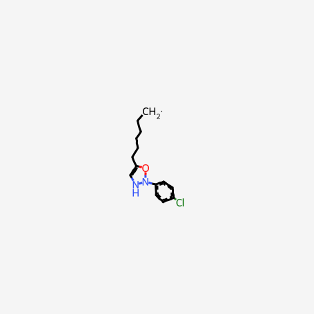 [CH2]CCCCCC1=CNN(c2ccc(Cl)cc2)O1